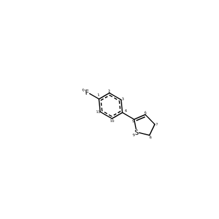 Fc1ccc(C2=CCCS2)cc1